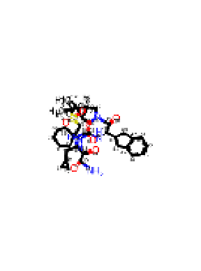 CC1(C)C2[C@@H](C(=O)NC(CC3CC3)C(=O)C(N)=O)N(C(=O)[C@@H](NC(=O)NC3(CS(=O)(=O)C(C)(C)C)CCCCC3)C3Cc4ccccc4C3)C[C@@H]21